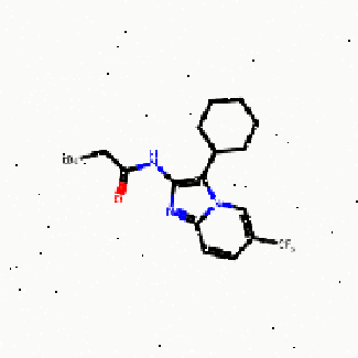 CC(C)(C)CC(=O)Nc1nc2ccc(C(F)(F)F)cn2c1C1CCCCC1